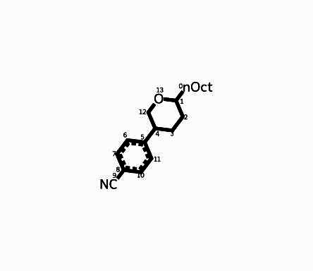 CCCCCCCCC1CCC(c2ccc(C#N)cc2)CO1